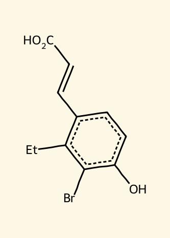 CCc1c(C=CC(=O)O)ccc(O)c1Br